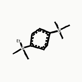 CC[Si](C)(C)c1ccc([Si](C)(C)C)cc1